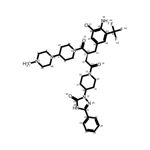 CN1CCN(C2CCN(C(=O)[C@H](CC(=O)N3CCC(n4nc(-c5ccccc5)[nH]c4=O)CC3)Cc3cc(Cl)c(N)c(C(F)(F)F)c3)CC2)CC1